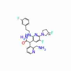 NCc1ncccc1C(C(N)=O)c1cc(F)c(N2CC[C@@H](F)C2)nc1NCCc1cccc(F)c1